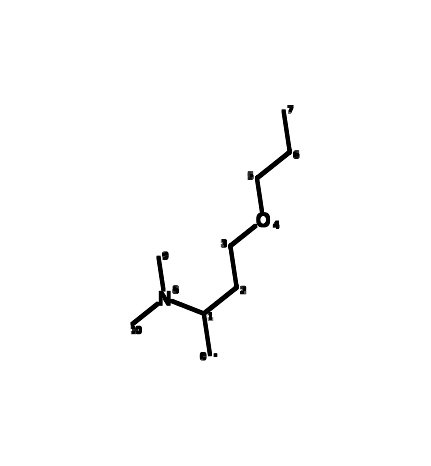 [CH2]C(CCOCCC)N(C)C